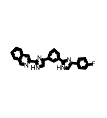 Fc1ccc(-c2c[nH]c(-c3cccc(-c4c[nH]c(-c5cc6ccccc6cn5)n4)c3)n2)cc1